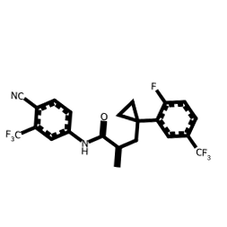 C=C(CC1(c2cc(C(F)(F)F)ccc2F)CC1)C(=O)Nc1ccc(C#N)c(C(F)(F)F)c1